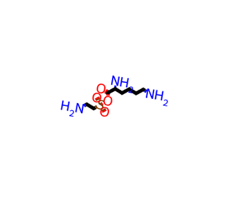 NCCCC[C@H](N)C(=O)OS(=O)(=O)CCN